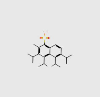 Cc1c(C(C)C)c(C(C)C)c2c(C(C)C)c(C(C)C)ccc2c1S(=O)(=O)O